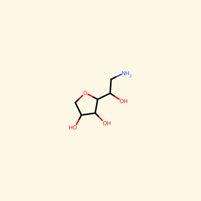 NCC(O)C1OCC(O)C1O